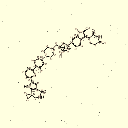 Cn1c(=O)n(C2CCC(=O)NC2=O)c2ccc(N3C[C@@H]4[C@@H]5C3[C@@]45CN3CCN(c4ccc(-c5nccc(-c6cc7c([nH]6)C6(CC6)CNC7=O)n5)c(F)c4)CC3)cc21